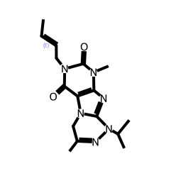 C/C=C/Cn1c(=O)c2c(nc3n2CC(C)=NN3C(C)C)n(C)c1=O